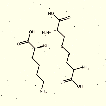 NC(CSSC[C@H](N)C(=O)O)C(=O)O.NCCCC[C@H](N)C(=O)O